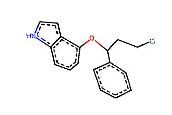 ClCCC(Oc1cccc2[nH]ccc12)c1ccccc1